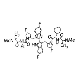 CCC(NC(=O)C(C)NC)C(=O)N1CC(F)CC1Cn1c(-c2[nH]c3cc(F)ccc3c2CC2CC(F)CN2C(=O)C(NC(=O)C(C)NC)C2CCCCC2)nc2cc(F)ccc21